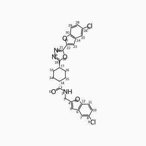 O=C(NCc1cc2cc(Cl)ccc2o1)[C@H]1CC[C@H](c2nnc(-c3cc4cc(Cl)ccc4o3)o2)CC1